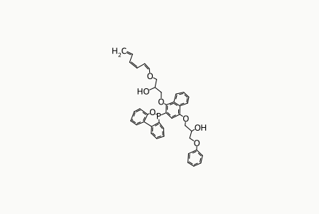 C=C/C=C\C=C/OCC(O)COc1c(P2Oc3ccccc3-c3ccccc32)cc(OCC(O)COc2ccccc2)c2ccccc12